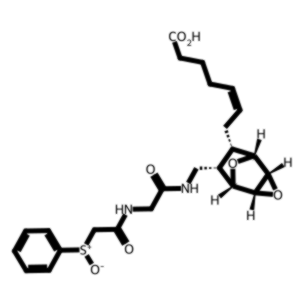 O=C(O)CCC/C=C\C[C@H]1[C@@H](CNC(=O)CNC(=O)C[S+]([O-])c2ccccc2)[C@@H]2O[C@H]1[C@@H]1O[C@@H]12